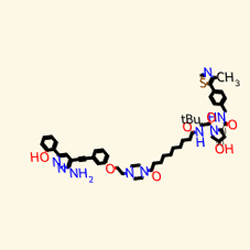 Cc1ncsc1-c1ccc(CNC(=O)[C@@H]2C[C@@H](O)CN2C(=O)C(NC(=O)CCCCCCCCC(=O)N2CCN(CCOc3cccc(C#Cc4cc(-c5ccccc5O)nnc4N)c3)CC2)C(C)(C)C)cc1